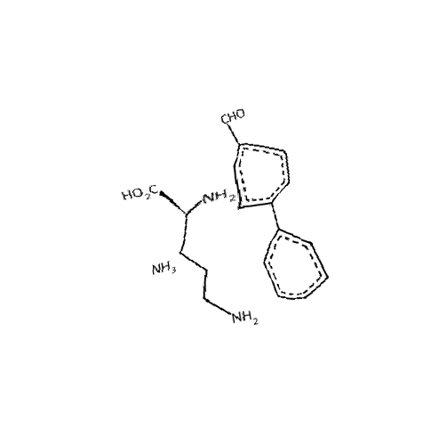 N.NCCC[C@H](N)C(=O)O.O=Cc1ccc(-c2ccccc2)cc1